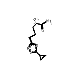 C[C@@H](C[CH]Cc1noc(C2CC2)n1)C(N)=O